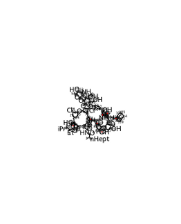 CCCCCCCC(C)C(=O)NC(=O)C[C@@H]1CC(=O)[C@H](NC(=O)[C@H](CC)CC(C)C)[C@H](O)c2ccc(c(Cl)c2)Oc2cc3cc(c2O[C@@H]2O[C@H](CO)[C@@H](O)[C@H](O)[C@H]2O[C@H]2C[C@](C)(N)[C@H](O)[C@H](C)O2)Oc2ccc(cc2Cl)[C@@H](O)[C@@H]2NC(=O)[C@H](CC(=O)[C@@H]3NC1=O)c1ccc(O)c(c1)-c1c(O)cc(O)cc1[C@@H](C(=O)CC1C3CC4CC(C3)CC1C4)NC2=O